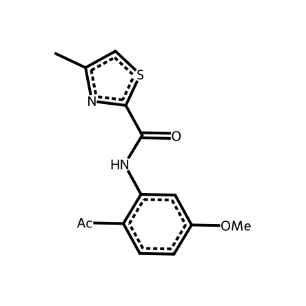 COc1ccc(C(C)=O)c(NC(=O)c2nc(C)cs2)c1